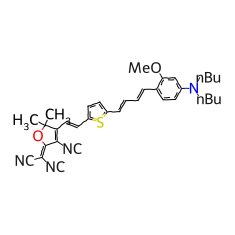 [C-]#[N+]C1=C(/C=C/c2ccc(/C=C/C=C/c3ccc(N(CCCC)CCCC)cc3OC)s2)C(C)(C)O/C1=C(\C#N)[N+]#[C-]